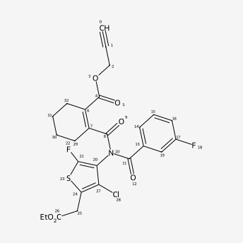 C#CCOC(=O)C1=C(C(=O)N(C(=O)c2cccc(F)c2)c2c(F)sc(CC(=O)OCC)c2Cl)CCCC1